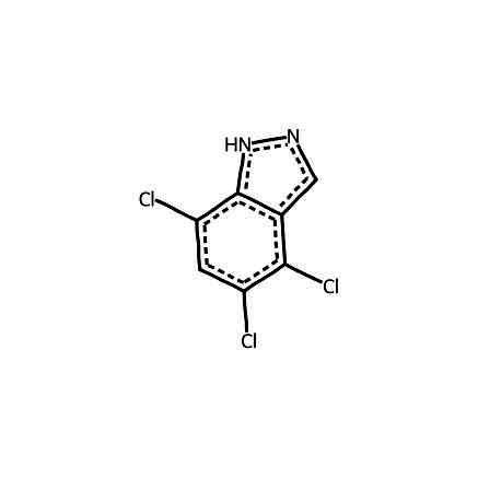 Clc1cc(Cl)c2[nH]ncc2c1Cl